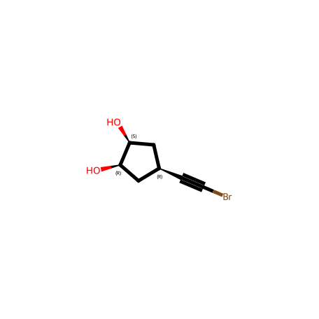 O[C@@H]1C[C@H](C#CBr)C[C@@H]1O